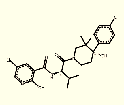 CC(C)[C@@H](NC(=O)c1cc(Cl)cnc1O)C(=O)N1CC[C@](O)(c2ccc(Cl)cc2)C(C)(C)C1